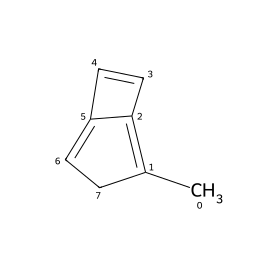 CC1=C2C=CC2=CC1